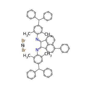 Cc1cc(C(c2ccccc2)c2ccccc2)cc(C)c1N=C1C(=Nc2c(C)cc(C(c3ccccc3)c3ccccc3)cc2C)c2ccc(-c3ccccc3)c3cccc1c23.[Br][Ni][Br]